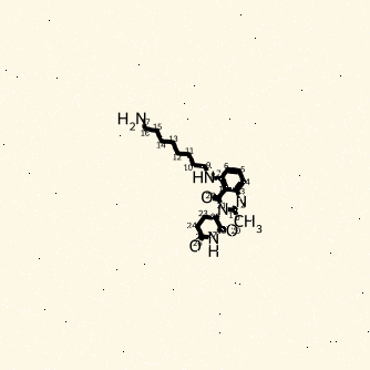 Cc1nc2cccc(NCCCCCCCCN)c2c(=O)n1C1CCC(=O)NC1=O